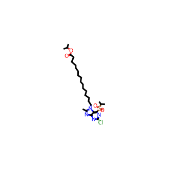 Cc1nc2nc(Cl)nc(S(=O)(=O)C(C)C)c2n1CCCCCCCCCCCCCCCC(=O)OC(C)C